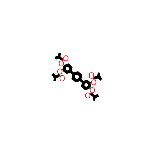 C=C(C)C(=O)Oc1ccc(-c2ccc(-c3ccc(OC(=O)C(=C)C)c(OC(=O)C(=C)C)c3)cc2)cc1OC(=O)C(=C)C